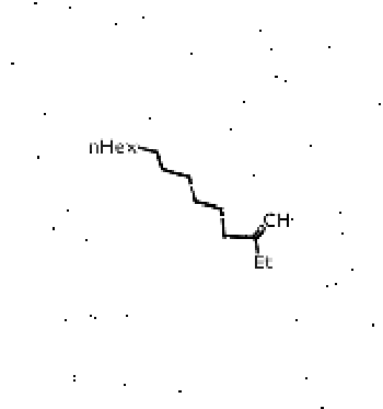 [CH]=C(C[CH2])CCCCCCCCCCCC